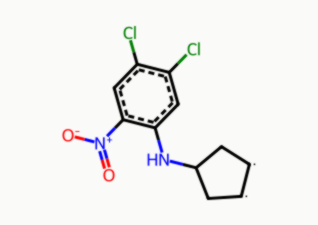 O=[N+]([O-])c1cc(Cl)c(Cl)cc1NC1C[CH][CH]C1